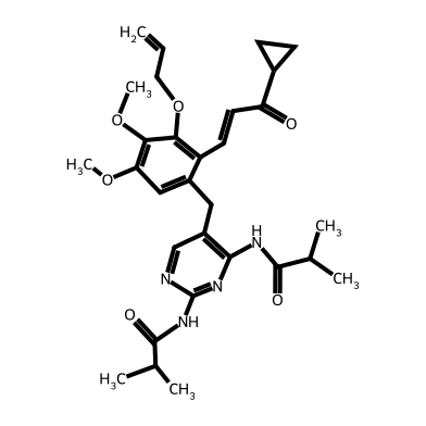 C=CCOc1c(C=CC(=O)C2CC2)c(Cc2cnc(NC(=O)C(C)C)nc2NC(=O)C(C)C)cc(OC)c1OC